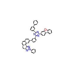 c1ccc(-c2cccc(-c3nc(-c4cccc(-c5ccc6ccc7ccc8nn(-c9ccccc9)nc8c7c6c5)c4)nc(-c4ccc5c(c4)oc4ccccc45)n3)c2)cc1